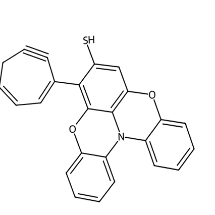 Sc1cc2c3c(c1C1=CC=CCC#C1)Oc1ccccc1N3c1ccccc1O2